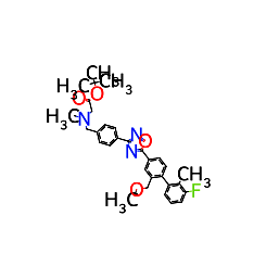 COCc1cc(-c2nc(-c3ccc(CN(C)CC(=O)OC(C)(C)C)cc3)no2)ccc1-c1cccc(F)c1C